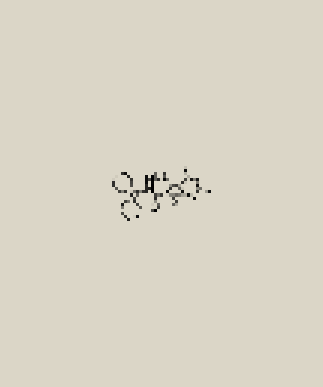 CCc1c(C(=O)NC2C3(CCCCC3)C23CCCCC3)sc2nc(C)cc(C)c12